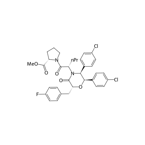 CCC[C@@H](C(=O)N1CCC[C@H]1C(=O)OC)N1C(=O)[C@@H](Cc2ccc(F)cc2)O[C@H](c2ccc(Cl)cc2)[C@@H]1c1ccc(Cl)cc1